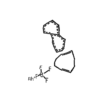 C1=C\CC/C=C\CC/1.F[B-](F)(F)F.[Rh+].c1ccc2ccccc2c1